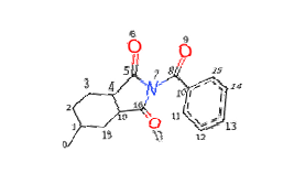 CC1CCC2C(=O)N(C(=O)c3ccccc3)C(=O)C2C1